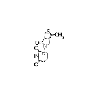 Cc1scc2c1CN([C@H]1CCCC(=O)NC1=O)C2=O